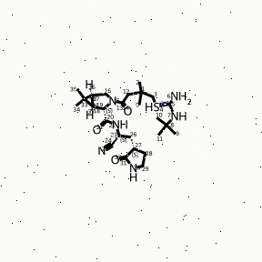 CC(C)(C/[SH]=C(\N)NC(C)(C)C)CC(=O)N1C[C@H]2[C@@H]([C@H]1C(=O)N[C@H](C#N)C[C@@H]1CCNC1=O)C2(C)C